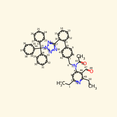 CCc1cc(N(Cc2ccc(-c3ccccc3-c3nnn(C(c4ccccc4)(c4ccccc4)c4ccccc4)n3)cc2)C(C)=O)c(C=O)c(CC)n1